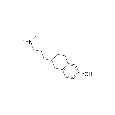 CN(C)CCCC1CCc2cc(O)ccc2C1